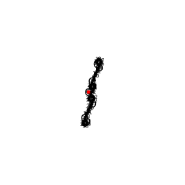 O=C(Cc1ccc(OCCCCCCOC2CCCCO2)cc1)c1ccc(OCCCCCCOC2CCCCO2)cc1